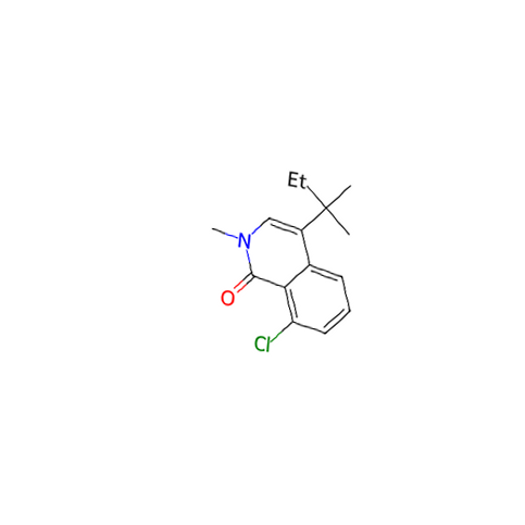 CCC(C)(C)c1cn(C)c(=O)c2c(Cl)cccc12